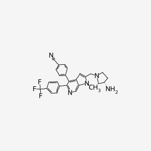 Cn1c(CN2CC[C@H](N)C2)cc2c(-c3ccc(C#N)cc3)c(-c3ccc(C(F)(F)F)cc3)ncc21